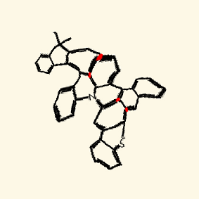 CC1(C)c2ccccc2-c2c(-c3ccccc3N(c3ccc4sc5ccccc5c4c3)c3ccccc3-c3cccc4ccccc34)cccc21